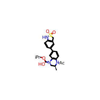 CC(=O)N1c2ccc(-c3ccc4c(c3)CS(=O)(=O)N4)cc2N(C(O)OC(C)C)C[C@@H]1C